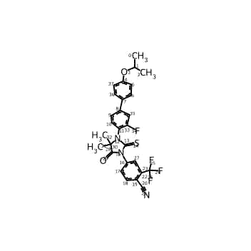 CC(C)Oc1ccc(-c2ccc(N3C(=S)N(c4ccc(C#N)c(C(F)(F)F)c4)C(=O)C3(C)C)c(F)c2)cc1